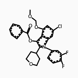 COCOc1cc(Cl)cc2c1c(OC(=O)c1ccccc1)c(C1CCOCC1)n2-c1ccc(F)c(F)c1